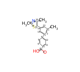 Cc1cc(-c2ccc(C(=O)O)cc2)cc(-c2sc(C)nc2C)c1